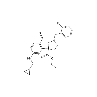 CCOC(=O)C1(c2nc(NCC3CC3)ncc2C=O)CCN(Cc2ccccc2F)C1